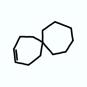 C1=CCCC2(CC1)CCCCCC2